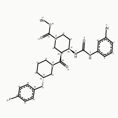 CC(=O)c1cccc(NC(=O)N[C@@H]2CCN(C(=O)OC(C)(C)C)C[C@@H]2C(=O)N2CCC[C@@H](Cc3ccc(F)cc3)C2)c1